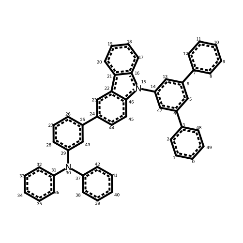 c1ccc(-c2cc(-c3ccccc3)cc(-n3c4ccccc4c4cc(-c5cccc(N(c6ccccc6)c6ccccc6)c5)ccc43)c2)cc1